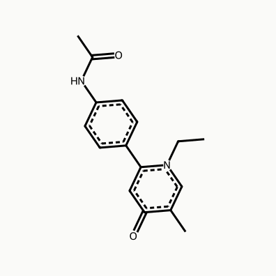 CCn1cc(C)c(=O)cc1-c1ccc(NC(C)=O)cc1